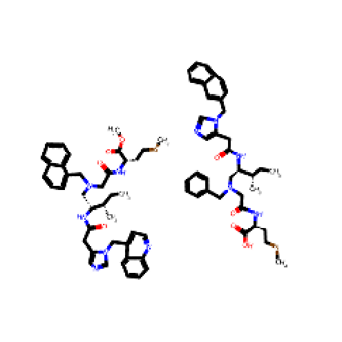 CC[C@H](C)[C@@H](CN(CC(=O)N[C@@H](CCSC)C(=O)O)Cc1ccccc1)NC(=O)Cc1cncn1Cc1ccc2ccccc2c1.CC[C@H](C)[C@@H](CN(CC(=O)N[C@@H](CCSC)C(=O)OC)Cc1cccc2ccccc12)NC(=O)Cc1cncn1Cc1ccnc2ccccc12